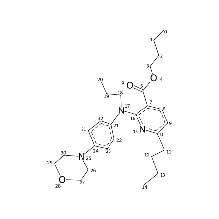 CCCCOC(=O)c1ccc(CCCC)nc1N(CCC)c1ccc(N2CCOCC2)cc1